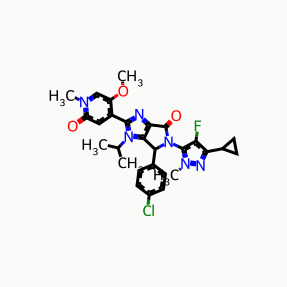 COc1cn(C)c(=O)cc1-c1nc2c(n1C(C)C)C(c1ccc(Cl)cc1)N(c1c(F)c(C3CC3)nn1C)C2=O